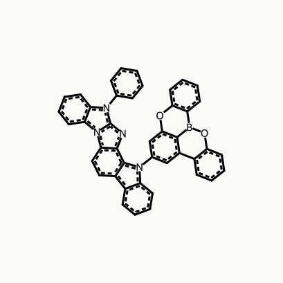 c1ccc(-n2c3ccccc3n3c4ccc5c6ccccc6n(-c6cc7c8c(c6)-c6ccccc6OB8c6ccccc6O7)c5c4nc23)cc1